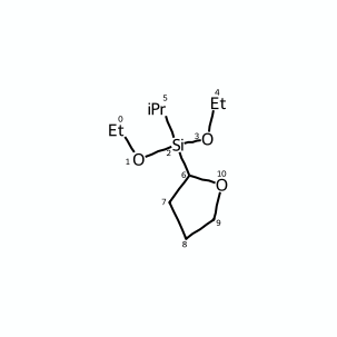 CCO[Si](OCC)(C(C)C)C1CCCO1